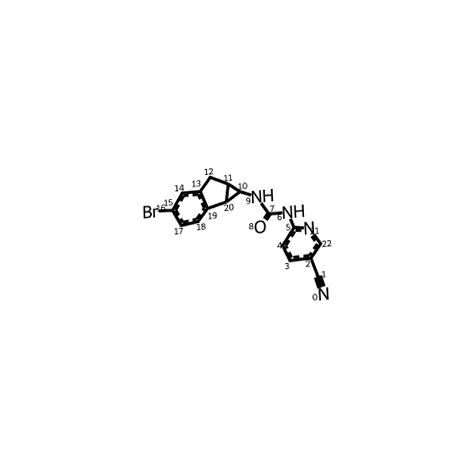 N#Cc1ccc(NC(=O)NC2C3Cc4cc(Br)ccc4C32)nc1